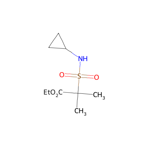 CCOC(=O)C(C)(C)S(=O)(=O)NC1CC1